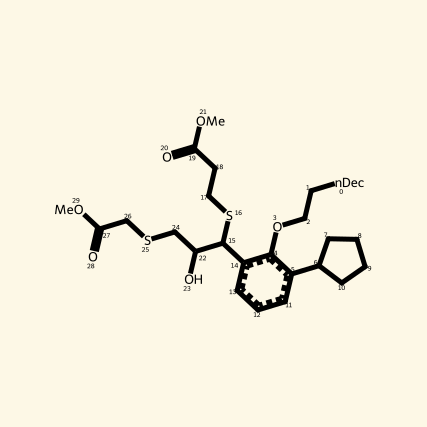 CCCCCCCCCCCCOc1c(C2CCCC2)cccc1C(SCCC(=O)OC)C(O)CSCC(=O)OC